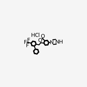 Cl.O=C1OC(Cc2ccc(C(F)(F)F)cc2-c2ccccc2)c2ccc(N3CCNCC3)cc21